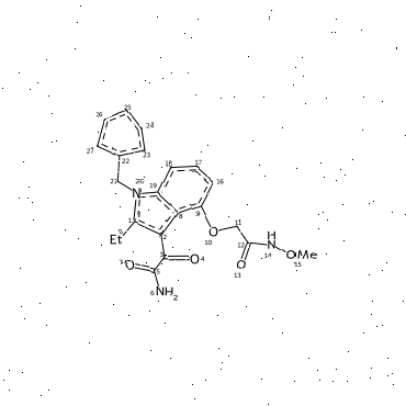 CCc1c(C(=O)C(N)=O)c2c(OCC(=O)NOC)cccc2n1Cc1ccccc1